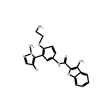 Cc1c(C(=O)Nc2ccc(OCCN)c(-c3c(Cl)cnn3C)c2)oc2ccccc12